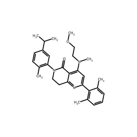 COCCN(C)c1cc(-c2c(C)cccc2C)nc2c1C(=O)N(c1cc(C(C)C)ccc1C)CC2